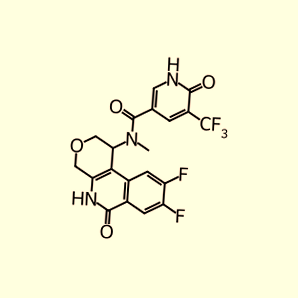 CN(C(=O)c1c[nH]c(=O)c(C(F)(F)F)c1)C1COCc2[nH]c(=O)c3cc(F)c(F)cc3c21